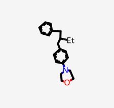 CCC(Cc1ccccc1)Cc1ccc(N2CCOCC2)cc1